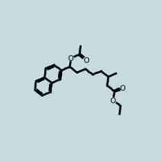 CCOC(=O)CC(C)CCCCC(OC(C)=O)c1ccc2ccccc2c1